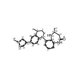 CC1CCN(c2cccc3c2N[C@@H](C)CC(=O)N3)c2ccc(-c3cnn(C)c3)cc21